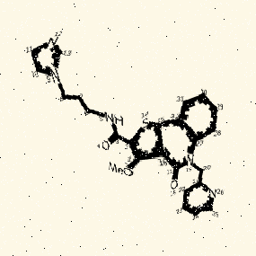 COc1c(C(=O)NCCCn2ccnc2)sc2c1c(=O)n(Cc1ccccn1)c1ccccc21